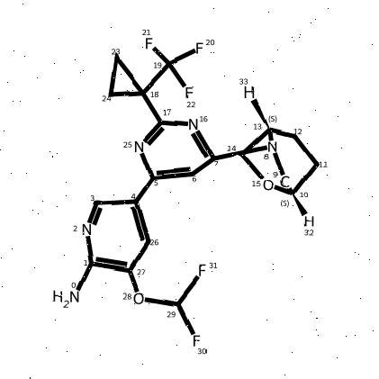 Nc1ncc(-c2cc(N3C[C@@H]4CC[C@H]3CO4)nc(C3(C(F)(F)F)CC3)n2)cc1OC(F)F